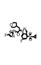 O=C(Nc1ncc(F)s1)C(CC1CCOCC1)n1ncc2c(S(=O)(=O)C3CC3)cc(F)cc21